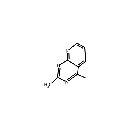 Cc1nc(I)c2cccnc2n1